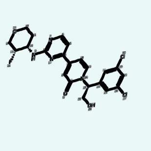 O=c1cc(-c2ccnc(N[C@H]3CCOC[C@H]3F)n2)ccn1[C@H](CO)c1cc(Cl)cc(Cl)c1